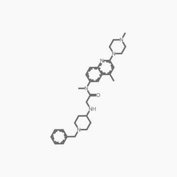 Cc1cc(N2CCN(C)CC2)nc2ccc(N(C)C(=O)CNC3CCN(Cc4ccccc4)CC3)cc12